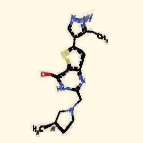 Cc1[nH]ncc1-c1cc2nc(CN3CC[C@@H](C)C3)[nH]c(=O)c2s1